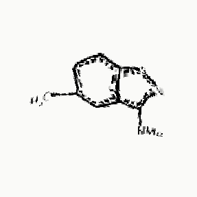 [CH2]c1ccc2snc(NC)c2c1